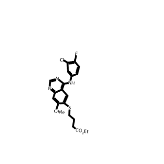 CCOC(=O)CCCSc1cc2c(Nc3ccc(F)c(Cl)c3)ncnc2cc1OC